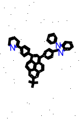 CC(C)(C)c1cc2ccc3c(-c4ccc(-c5ccccn5)cc4)cc(-c4ccc(-c5nc6ccccc6n5-c5ccccc5)cc4)c4ccc(c1)c2c34